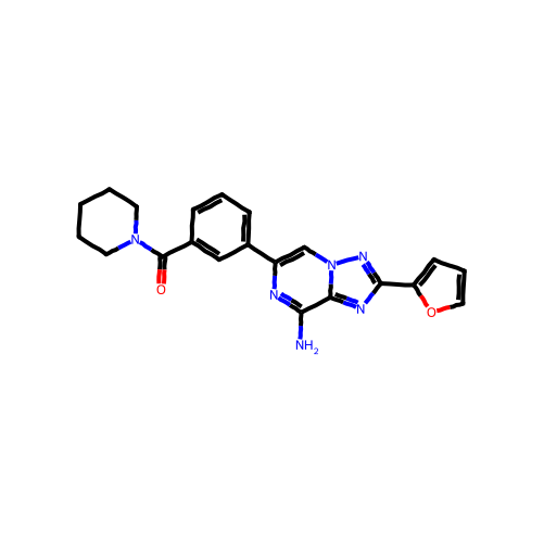 Nc1nc(-c2cccc(C(=O)N3CCCCC3)c2)cn2nc(-c3ccco3)nc12